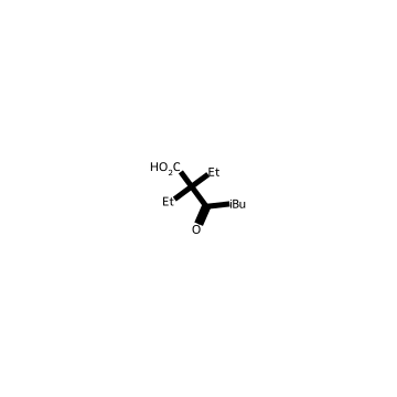 CCC(C)C(=O)C(CC)(CC)C(=O)O